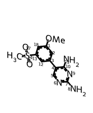 COc1cc(-c2cnc(N)nc2N)cc(S(C)(=O)=O)c1